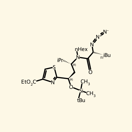 CCCCCCN(C(=O)C(N=[N+]=[N-])[C@@H](C)CC)[C@H](C[C@@H](O[Si](C)(C)C(C)(C)C)c1nc(C(=O)OCC)cs1)C(C)C